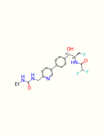 CCNC(=O)NCc1ccc(-c2ccc([C@H](O)[C@@H](CF)NC(=O)C(F)F)cc2)cn1